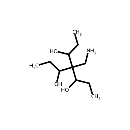 CCC(O)C(CN)(C(O)CC)C(O)CC